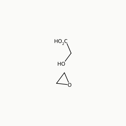 C1CO1.O=C(O)CO